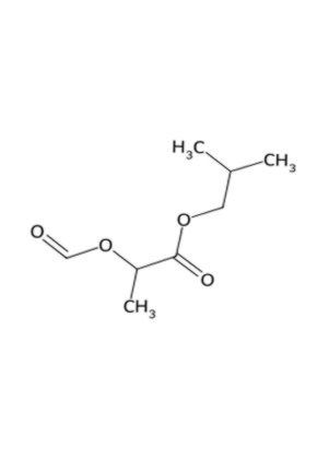 CC(C)COC(=O)C(C)OC=O